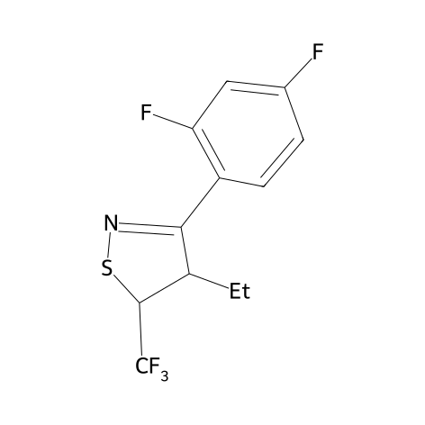 CCC1C(c2ccc(F)cc2F)=NSC1C(F)(F)F